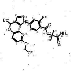 CCC(Oc1ccc(OCC(F)(F)F)nc1)c1cnn(-c2ccc(C(=O)NC(C)(C)C(N)=O)c(F)c2)c1